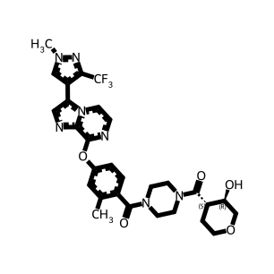 Cc1cc(Oc2nccn3c(-c4cn(C)nc4C(F)(F)F)cnc23)ccc1C(=O)N1CCN(C(=O)[C@H]2CCOC[C@@H]2O)CC1